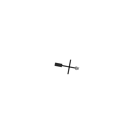 C#CC(C)(C)Br